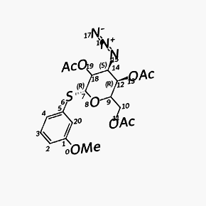 COc1cccc(S[C@H]2OC(COC(C)=O)[C@H](OC(C)=O)[C@H](N=[N+]=[N-])C2OC(C)=O)c1